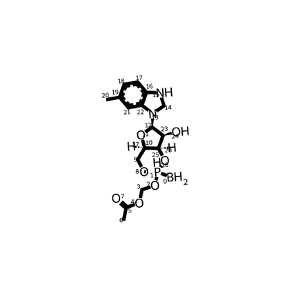 B[PH]1(OCOC(C)=O)OC[C@H]2O[C@@H](N3CNc4ccc(C)cc43)[C@@H](O)[C@H]2O1